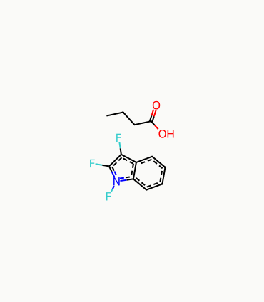 CCCC(=O)O.Fc1c(F)n(F)c2ccccc12